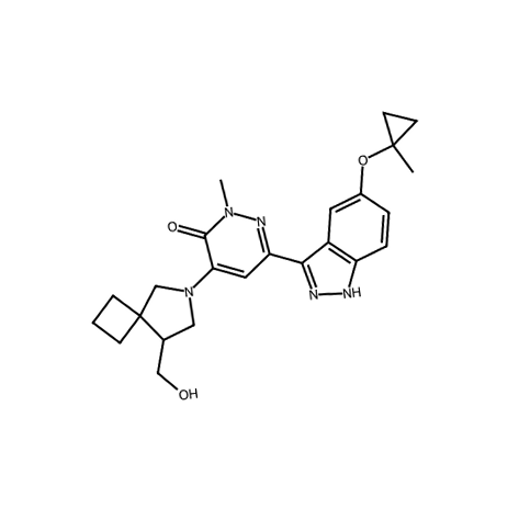 Cn1nc(-c2n[nH]c3ccc(OC4(C)CC4)cc23)cc(N2CC(CO)C3(CCC3)C2)c1=O